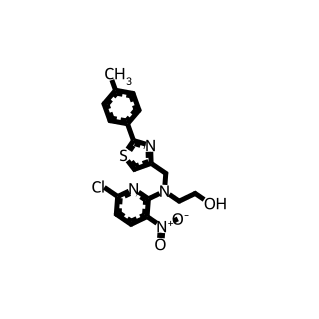 Cc1ccc(-c2nc(CN(CCO)c3nc(Cl)ccc3[N+](=O)[O-])cs2)cc1